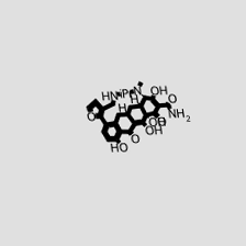 CC(C)NCc1ccoc1-c1ccc(O)c2c1C[C@H]1C[C@H]3[C@H](N(C)C)C(O)=C(C(N)=O)C(=O)[C@@]3(O)C(O)=C1C2=O